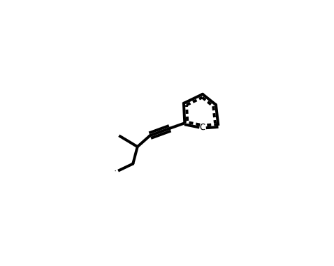 [CH2]CC(C)C#Cc1ccccc1